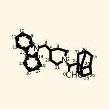 O=CC(N1CCC(Cn2c3ccccc3c3ccccc32)CC1)C12CC3CC(CC(C3)C1)C2